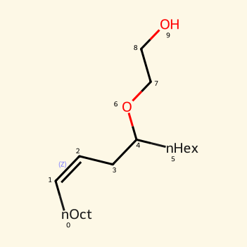 CCCCCCCC/C=C\CC(CCCCCC)OCCO